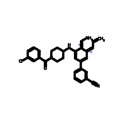 C=C/C=c1/cc(-c2cccc(C#N)c2)cc(NC2CCN(C(=O)c3cccc(Cl)c3)CC2)/c1=C/N